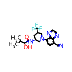 CC(C)[C@H](O)C(=O)N[C@H]1C[C@@H](C(F)(F)F)CN(c2ccc(C#N)c3nccnc23)C1